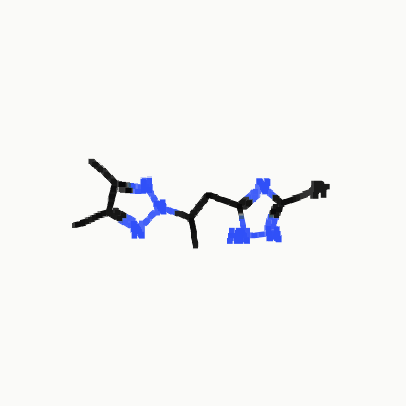 Cc1nn(C(C)Cc2nc(C(C)C)n[nH]2)nc1C